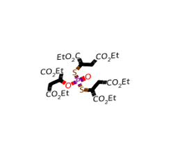 CCOC(=O)CC(OP(=O)(SC(CC(=O)OCC)C(=O)OCC)SC(CC(=O)OCC)C(=O)OCC)C(=O)OCC